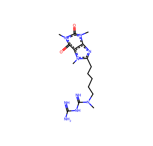 CN(CCCCCc1nc2c(c(=O)n(C)c(=O)n2C)n1C)C(=N)NC(=N)N